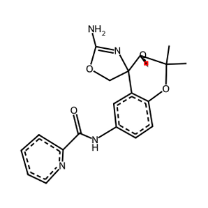 CC1(C)Oc2ccc(NC(=O)c3ccccn3)cc2C2(COC(N)=N2)C12COC2